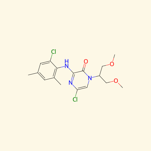 COCC(COC)n1cc(Cl)nc(Nc2c(C)cc(C)cc2Cl)c1=O